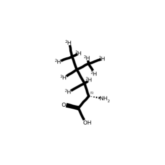 [2H]C([2H])([2H])C([2H])(C([2H])([2H])[2H])C([2H])([2H])[C@H](N)C(=O)O